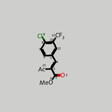 COC(=O)/C(=C/c1ccc(Cl)c(C(F)(F)F)c1)C(C)=O